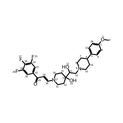 COc1ccc(C2CCN(CC(O)C3(O)CCN(C=CC(=O)c4cc(F)c(F)c(F)c4)CC3)CC2)cc1